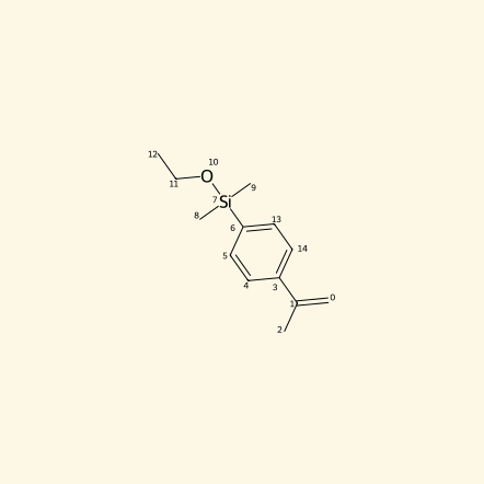 C=C(C)c1ccc([Si](C)(C)OCC)cc1